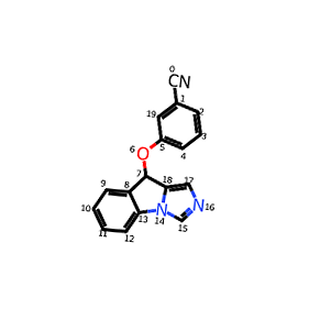 N#Cc1cccc(OC2c3ccccc3-n3cncc32)c1